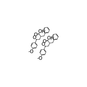 COc1ccc(C(=O)CC(Cc2ccccc2)C(=O)O)cc1.COc1ccc(C(=O)CC(Cc2ccccc2)C(=O)O)cc1